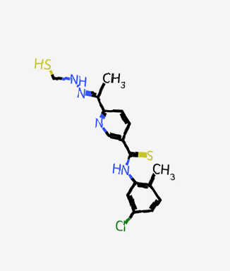 CC(=NNCS)c1ccc(C(=S)Nc2cc(Cl)ccc2C)cn1